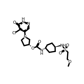 COCCS(=O)(=O)N[C@H]1CC[C@H](NC(=O)O[C@@H]2CCN(c3cn[nH]c(=O)c3Cl)C2)CC1